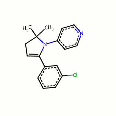 CC1(C)CC=C(c2cccc(Cl)c2)N1c1ccncc1